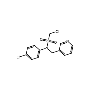 O=S(=O)(CCl)N(Cc1cccnc1)c1ccc(Cl)cc1